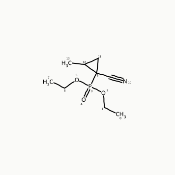 CCOP(=O)(OCC)C1(C#N)CC1C